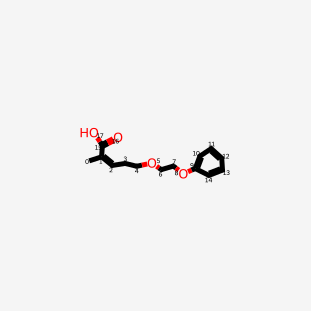 CC(=CCCOCCOc1ccccc1)C(=O)O